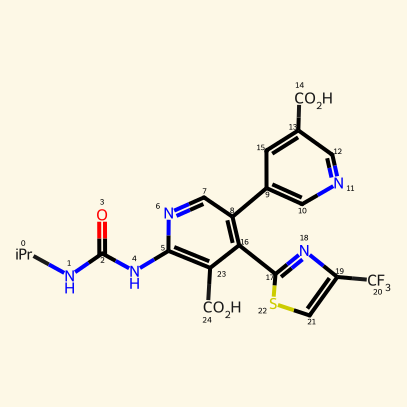 CC(C)NC(=O)Nc1ncc(-c2cncc(C(=O)O)c2)c(-c2nc(C(F)(F)F)cs2)c1C(=O)O